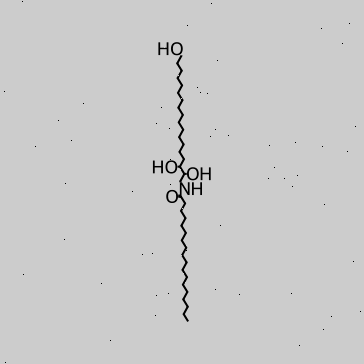 CCCCCCCCCCCCCCCCCC(=O)NCC(O)C(O)CCCCCCCCCCCCCCCO